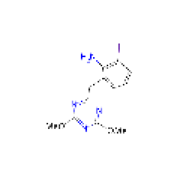 COc1nc(Cc2cccc(I)c2N)nc(OC)n1